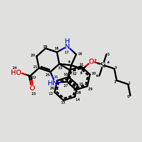 CCCC[Si](C)(C)OCC1(c2ccccc2)CNC2CCC(C(=O)O)=C3Nc4ccccc4C321